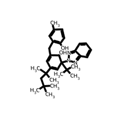 Cc1ccc(O)c(CC2=CC(C(C)(C)CC(C)(C)C)=CC(n3nc4ccccc4n3)(C(C)(C)C)C2O)c1